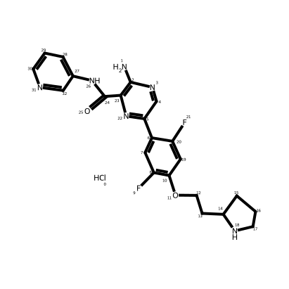 Cl.Nc1ncc(-c2cc(F)c(OCCC3CCCN3)cc2F)nc1C(=O)Nc1cccnc1